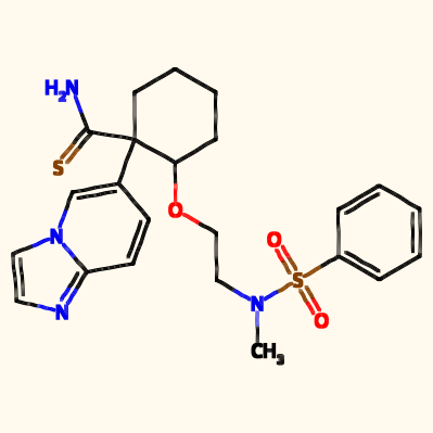 CN(CCOC1CCCCC1(C(N)=S)c1ccc2nccn2c1)S(=O)(=O)c1ccccc1